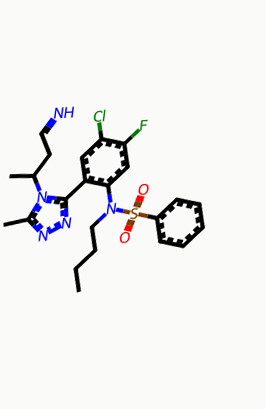 CCCCN(c1cc(F)c(Cl)cc1-c1nnc(C)n1C(C)CC=N)S(=O)(=O)c1ccccc1